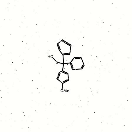 COc1ccc(C(SO)(c2ccccc2)c2ccccc2)cc1